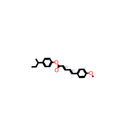 CCC(C)c1ccc(OC(=O)/C=C/C=C/c2ccc(OC)cc2)cc1